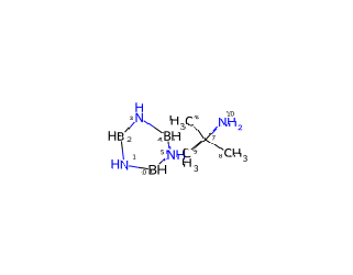 B1NBNBN1.CC(C)(C)N